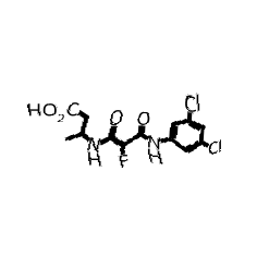 CC(CC(=O)O)NC(=O)C(F)C(=O)Nc1cc(Cl)cc(Cl)c1